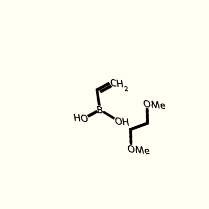 C=CB(O)O.COCCOC